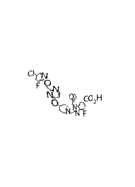 O=C(O)c1cc(F)c2nc(CN3CCC(Oc4ccnc(COc5ncc(Cl)cc5F)n4)CC3)n(C[C@@H]3CCO3)c2c1